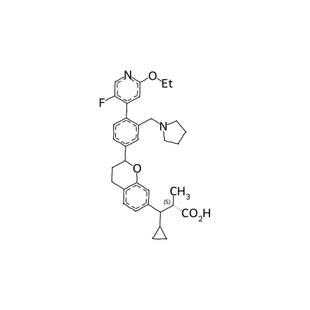 CCOc1cc(-c2ccc(C3CCc4ccc(C(C5CC5)[C@H](C)C(=O)O)cc4O3)cc2CN2CCCC2)c(F)cn1